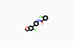 O=C(Nc1ccc(-c2cc3c(cc2Cl)CCO3)cc1)c1ccccc1Cl